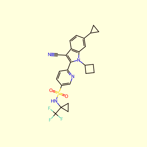 N#Cc1c(-c2ccc(S(=O)(=O)NC3(C(F)(F)F)CC3)cn2)n(C2CCC2)c2cc(C3CC3)ccc12